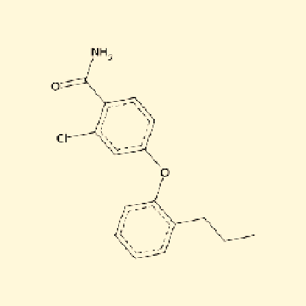 CCCc1ccccc1Oc1ccc(C(N)=O)c(Cl)c1